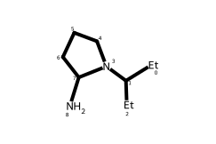 CCC(CC)N1CCCC1N